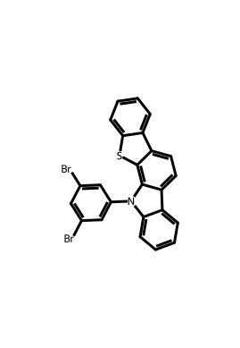 Brc1cc(Br)cc(-n2c3ccccc3c3ccc4c5ccccc5sc4c32)c1